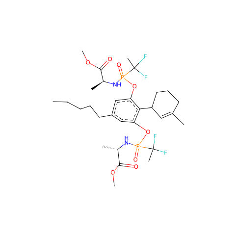 CCCCCc1cc(OP(=O)(N[C@@H](C)C(=O)OC)C(C)(F)F)c(C2C=C(C)CCC2)c(OP(=O)(N[C@@H](C)C(=O)OC)C(C)(F)F)c1